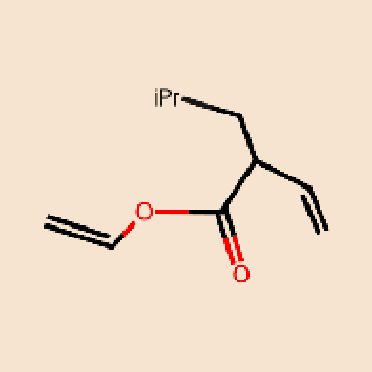 C=COC(=O)C(C=C)CC(C)C